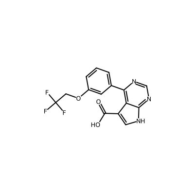 O=C(O)c1c[nH]c2ncnc(-c3cccc(OCC(F)(F)F)c3)c12